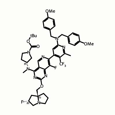 COc1ccc(CN(Cc2ccc(OC)cc2)c2cc(-c3ncc4c(N(C)[C@@H]5CCN(C(=O)OC(C)(C)C)C5)nc(OC[C@@]56CCCN5C[C@H](F)C6)nc4c3F)c(C(F)(F)F)c(C)n2)cc1